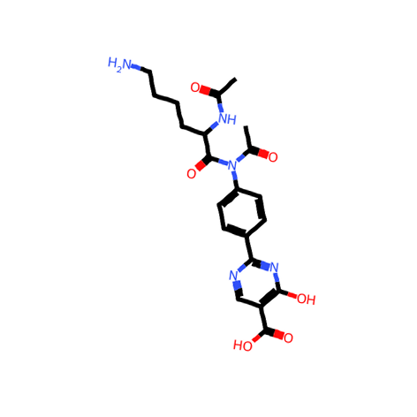 CC(=O)NC(CCCCN)C(=O)N(C(C)=O)c1ccc(-c2ncc(C(=O)O)c(O)n2)cc1